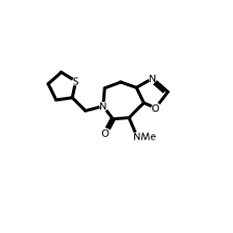 CNC1C(=O)N(CC2CCCS2)CCC2N=COC21